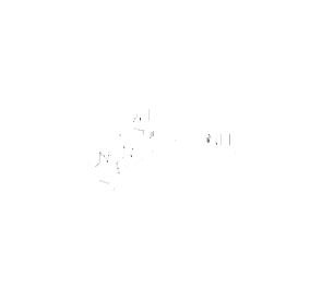 NCCCCCCN(CC(=O)O)c1ccccn1